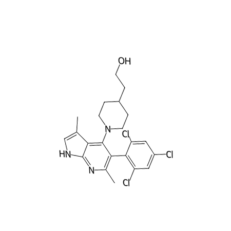 Cc1nc2[nH]cc(C)c2c(N2CCC(CCO)CC2)c1-c1c(Cl)cc(Cl)cc1Cl